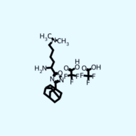 CN(C)CCCCC(N)c1nc(C23CC4CC(CC(C4)C2)C3)no1.O=C(O)C(F)(F)F.O=C(O)C(F)(F)F